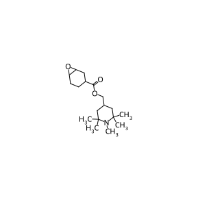 CN1C(C)(C)CC(COC(=O)C2CCC3OC3C2)CC1(C)C